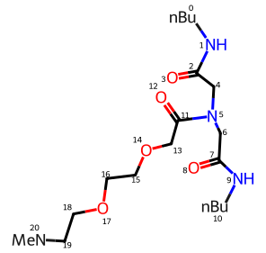 CCCCNC(=O)CN(CC(=O)NCCCC)C(=O)COCCOCCNC